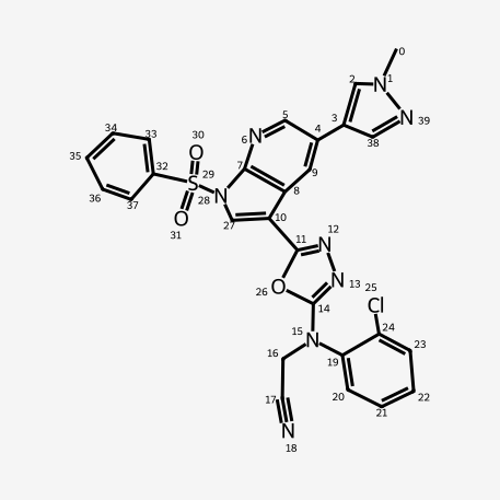 Cn1cc(-c2cnc3c(c2)c(-c2nnc(N(CC#N)c4ccccc4Cl)o2)cn3S(=O)(=O)c2ccccc2)cn1